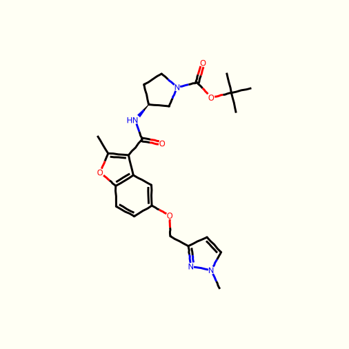 Cc1oc2ccc(OCc3ccn(C)n3)cc2c1C(=O)N[C@H]1CCN(C(=O)OC(C)(C)C)C1